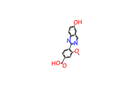 COc1cc(C(=O)O)ccc1-c1ncc2cc(O)ccc2n1